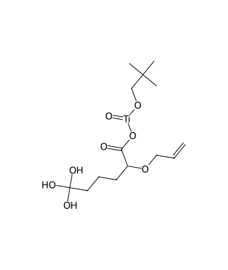 C=CCOC(CCCC(O)(O)O)C(=O)[O][Ti](=[O])[O]CC(C)(C)C